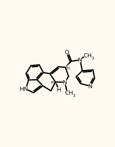 CN(C(=O)[C@@H]1C=C2c3cccc4[nH]cc(c34)C[C@H]2N(C)C1)c1ccncc1